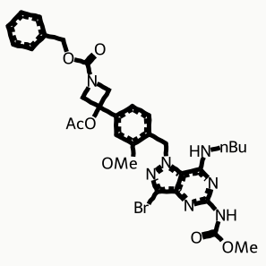 CCCCNc1nc(NC(=O)OC)nc2c(Br)nn(Cc3ccc(C4(OC(C)=O)CN(C(=O)OCc5ccccc5)C4)cc3OC)c12